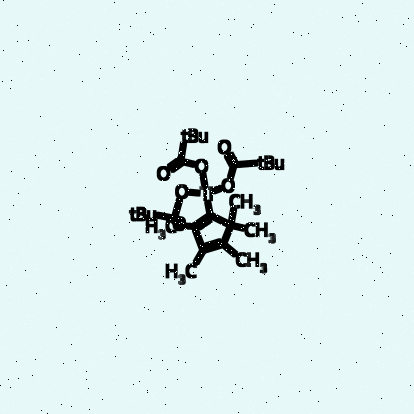 CC1=C(C)C(C)(C)[C]([Ti]([O]C(=O)C(C)(C)C)([O]C(=O)C(C)(C)C)[O]C(=O)C(C)(C)C)=C1C